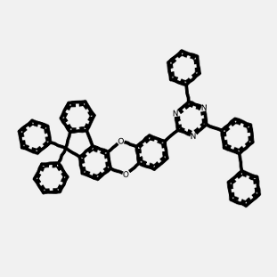 c1ccc(-c2cccc(-c3nc(-c4ccccc4)nc(-c4ccc5c(c4)Oc4c(ccc6c4-c4ccccc4C6(c4ccccc4)c4ccccc4)O5)n3)c2)cc1